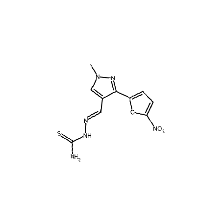 Cn1cc(C=NNC(N)=S)c(-c2ccc([N+](=O)[O-])o2)n1